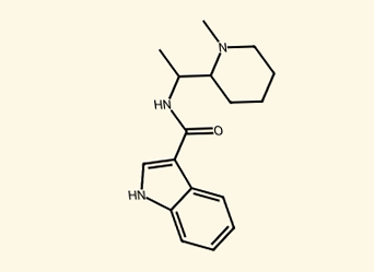 CC(NC(=O)c1c[nH]c2ccccc12)C1CCCCN1C